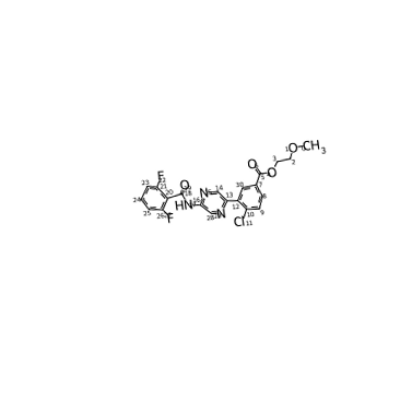 COCCOC(=O)c1ccc(Cl)c(-c2cnc(NC(=O)c3c(F)cccc3F)cn2)c1